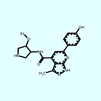 CCOC1CNCC1NC(=O)c1cc(-c2ccc(O)cc2)nc2[nH]nc(C)c12